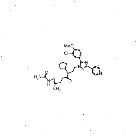 COc1ccc(-c2nc(-c3ccncc3)nn2CCN(C(=O)CCC(C)=NNC(N)=O)C2CCCC2)cc1Cl